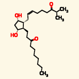 CCCCCCCC(=O)CC[C@@H]1[C@@H](C/C=C\CCCC(=O)C(C)C)[C@@H](O)C[C@H]1O